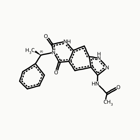 CC(=O)Nc1n[nH]c2cc3[nH]c(=O)n([C@H](C)c4ccccc4)c(=O)c3cc12